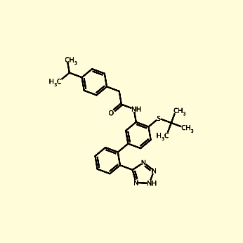 CC(C)c1ccc(CC(=O)Nc2cc(-c3ccccc3-c3nn[nH]n3)ccc2SC(C)(C)C)cc1